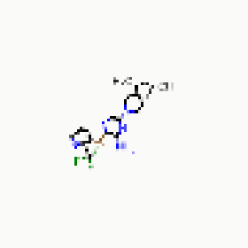 C[C@H]1C[C@@H](C)C2(CCN(c3cnc(Sc4cccnc4C(F)(F)F)c(N)n3)CC2)C1